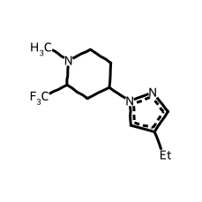 CCc1cnn(C2CCN(C)C(C(F)(F)F)C2)c1